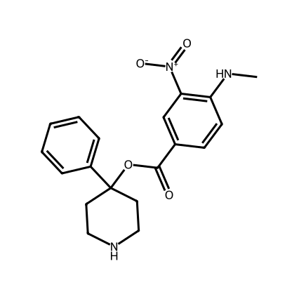 CNc1ccc(C(=O)OC2(c3ccccc3)CCNCC2)cc1[N+](=O)[O-]